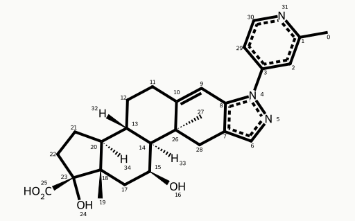 Cc1cc(-n2ncc3c2C=C2CC[C@@H]4[C@H]([C@@H](O)C[C@@]5(C)[C@H]4CC[C@]5(O)C(=O)O)[C@]2(C)C3)ccn1